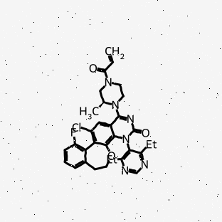 C=CC(=O)N1CCN(c2nc(=O)n(-c3c(CC)ncnc3CC)c3c4c(c(Cl)cc23)-c2c(F)cccc2CCO4)[C@@H](C)C1